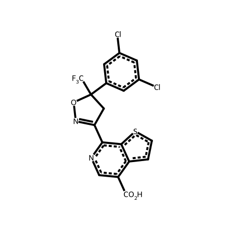 O=C(O)c1cnc(C2=NOC(c3cc(Cl)cc(Cl)c3)(C(F)(F)F)C2)c2sccc12